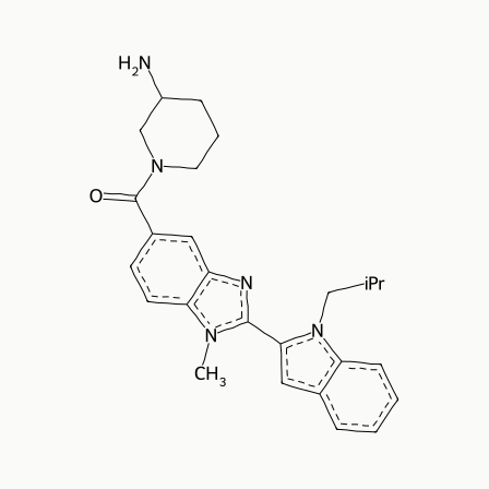 CC(C)Cn1c(-c2nc3cc(C(=O)N4CCCC(N)C4)ccc3n2C)cc2ccccc21